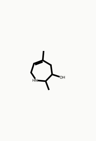 CC1=CCNC(C)C(O)C1